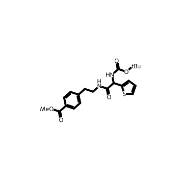 COC(=O)c1ccc(CCNC(=O)C(NC(=O)OC(C)(C)C)c2cccs2)cc1